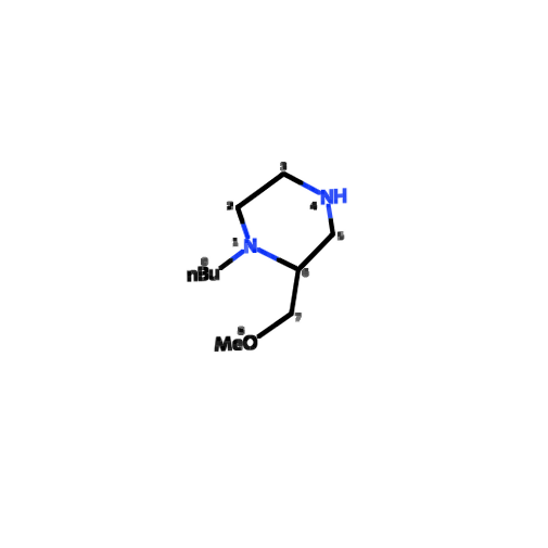 CCCCN1CCNCC1COC